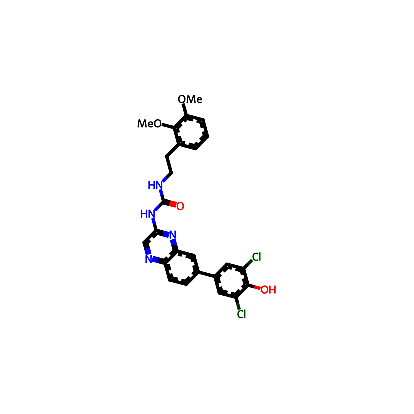 COc1cccc(CCNC(=O)Nc2cnc3ccc(-c4cc(Cl)c(O)c(Cl)c4)cc3n2)c1OC